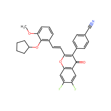 COc1cccc(C=Cc2oc3cc(F)c(F)cc3c(=O)c2-c2ccc(C#N)cc2)c1OC1CCCC1